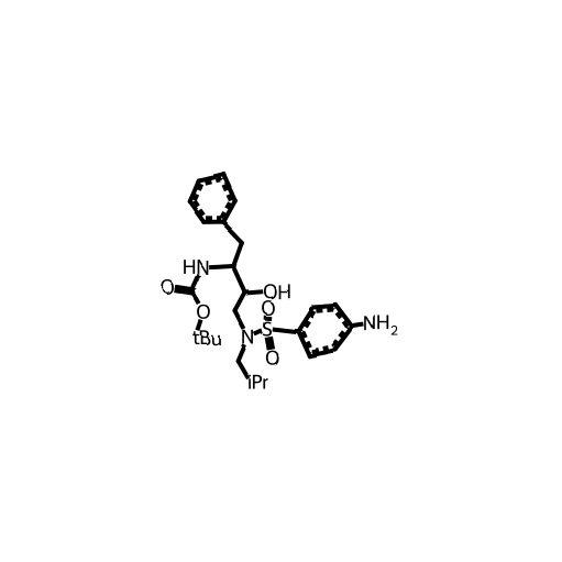 CC(C)CN(CC(O)C(Cc1ccccc1)NC(=O)OC(C)(C)C)S(=O)(=O)c1ccc(N)cc1